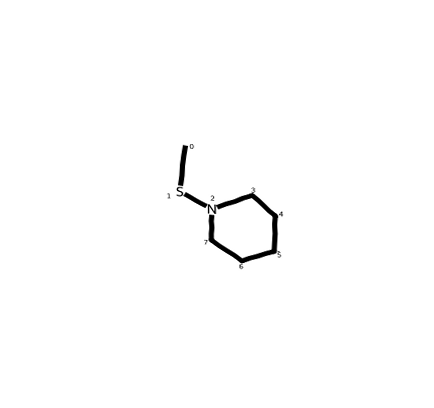 CSN1CC[CH]CC1